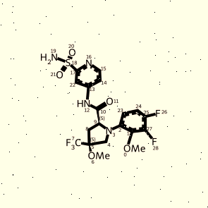 COc1c(N2C[C@](OC)(C(F)(F)F)C[C@H]2C(=O)Nc2ccnc(S(N)(=O)=O)c2)ccc(F)c1F